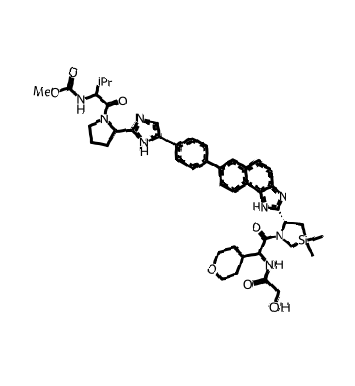 COC(=O)NC(C(=O)N1CCCC1c1ncc(-c2ccc(-c3ccc4c(ccc5nc([C@@H]6C[Si](C)(C)CN6C(=O)C(NC(=O)CO)C6CCOCC6)[nH]c54)c3)cc2)[nH]1)C(C)C